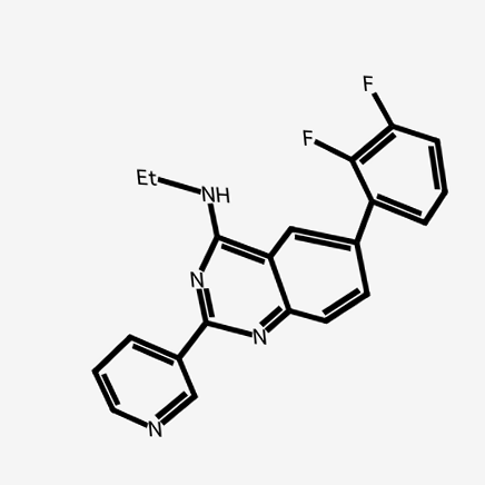 CCNc1nc(-c2cccnc2)nc2ccc(-c3cccc(F)c3F)cc12